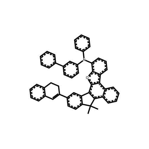 CC1(C)c2ccc(C3=Cc4ccccc4CC3)cc2-c2c1c1ccccc1c1c2oc2c(N(c3ccccc3)c3cccc(-c4ccccc4)c3)cccc21